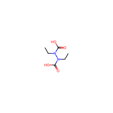 CCN(C(=O)O)N(CC)C(=O)O